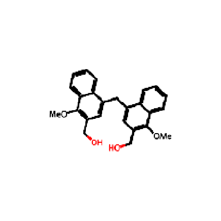 COc1c(CO)cc(Cc2cc(CO)c(OC)c3ccccc23)c2ccccc12